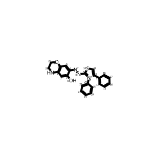 Oc1cc2c(cc1N=Nc1scc(-c3ccccc3)[n+]1-c1ccccc1)OCCN2